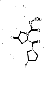 CC(C)(C)OC(=O)N1CC(=O)C[C@H]1C(=O)N1CC[C@H](F)C1